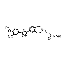 CNC(=O)CCCN1CCc2ccc(-c3noc(-c4ccc(OC(C)C)c(C#N)c4)n3)cc2CC1